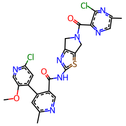 COc1cnc(Cl)cc1-c1cc(C)ncc1C(=O)Nc1nc2c(s1)CN(C(=O)c1ncc(C)nc1Cl)C2